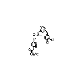 COC(=O)Cc1ccc(SCC(=O)NC[C@H]2CN(Cc3ccc(Cl)c(Cl)c3)CCO2)nn1